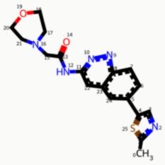 Cc1ncc(-c2ccc3nnc(NC(=O)CN4CCOCC4)cc3c2)s1